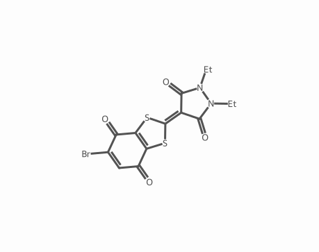 CCN1C(=O)C(=C2SC3=C(S2)C(=O)C(Br)=CC3=O)C(=O)N1CC